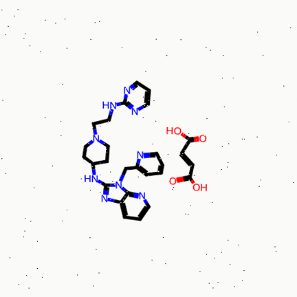 O=C(O)C=CC(=O)O.c1ccc(Cn2c(NC3CCN(CCNc4ncccn4)CC3)nc3cccnc32)nc1